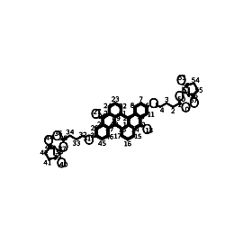 O=C(CCCOc1ccc2c(c1)c(=O)c1cccc3c1c2c1cccc2c(=O)c4cc(OCCCC(=O)ON5C(=O)CCC5=O)ccc4c3c21)ON1C(=O)CCC1=O